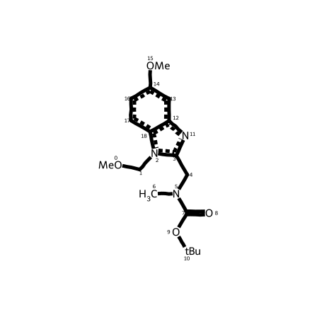 COCn1c(CN(C)C(=O)OC(C)(C)C)nc2cc(OC)ccc21